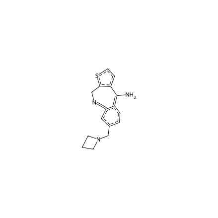 NC1=c2ccc(CN3CCC3)cc2=NCc2sccc21